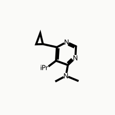 CC(C)c1c(C2CC2)ncnc1N(C)C